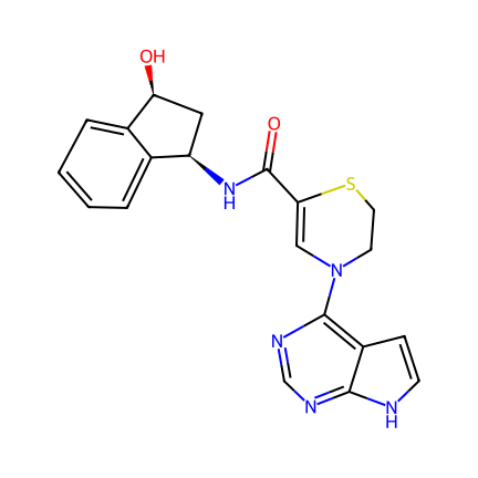 O=C(N[C@@H]1C[C@H](O)c2ccccc21)C1=CN(c2ncnc3[nH]ccc23)CCS1